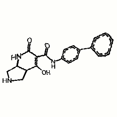 O=C(Nc1ccc(-c2ccccc2)cc1)C1=C(O)C2CNCC2NC1=O